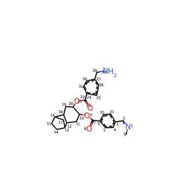 C/N=C\c1ccc(C(=O)OC2CC3C4CCC(C4)C3CC2OC(=O)c2ccc(CN)cc2)cc1